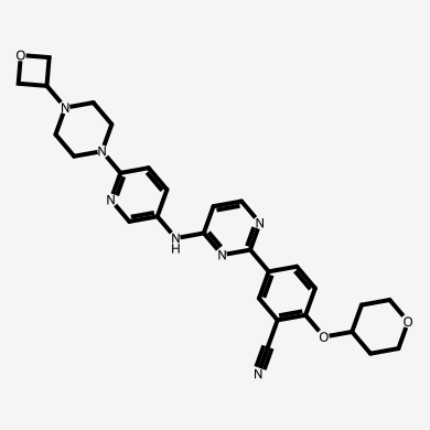 N#Cc1cc(-c2nccc(Nc3ccc(N4CCN(C5COC5)CC4)nc3)n2)ccc1OC1CCOCC1